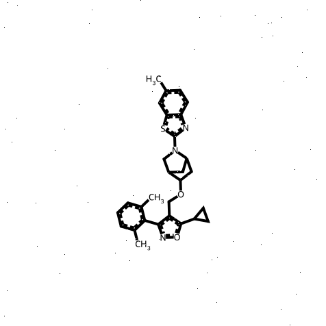 Cc1ccc2nc(N3CC4CC3CC4OCc3c(-c4c(C)cccc4C)noc3C3CC3)sc2c1